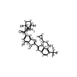 Cn1c(-c2cc3ccc(C(F)(F)F)c4c3n2C(C2CC2)CN4)nc2cc(C(=O)N3C[C@H]4CC[C@@H]3[C@@H]4N)cc(F)c21